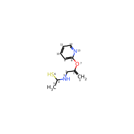 C=C(CNC(C)S)Oc1ccccn1